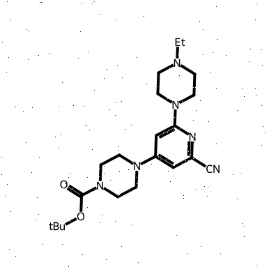 CCN1CCN(c2cc(N3CCN(C(=O)OC(C)(C)C)CC3)cc(C#N)n2)CC1